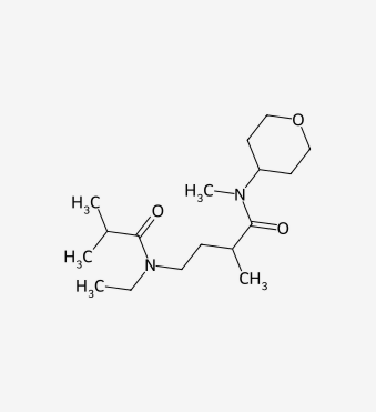 CCN(CCC(C)C(=O)N(C)C1CCOCC1)C(=O)C(C)C